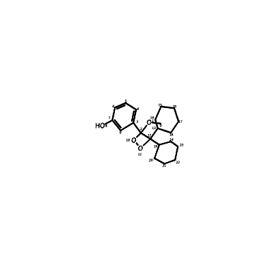 COC1(c2cccc(O)c2)OOC1(C1CCCCC1)C1CCCCC1